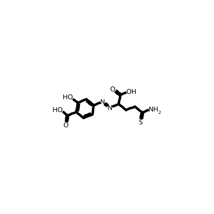 NC(=S)CCC(/N=N/c1ccc(C(=O)O)c(O)c1)C(=O)O